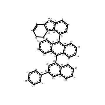 C1=Cc2oc3cccc(-c4c5ccccc5c(-c5cc(-c6ccccc6)cc6ccccc56)c5ccccc45)c3c2CC1